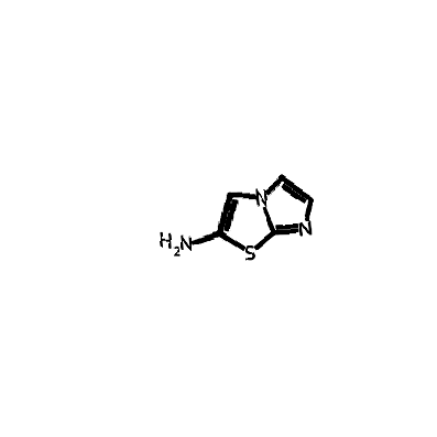 Nc1cn2ccnc2s1